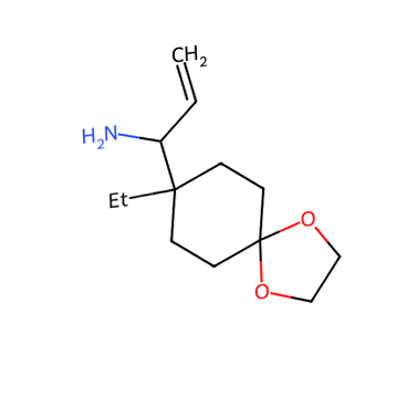 C=CC(N)C1(CC)CCC2(CC1)OCCO2